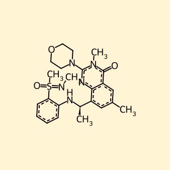 CN=S(C)(=O)c1ccccc1N[C@H](C)c1cc(C)cc2c(=O)n(C)c(N3CCOCC3)nc12